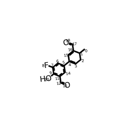 CC1CC=C(c2cc(F)c(O)c(C=O)c2)C=C1C=O